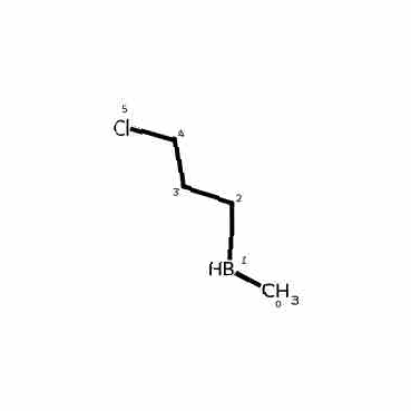 CBCCCCl